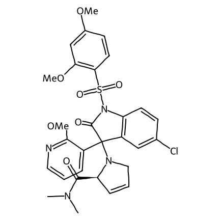 COc1ccc(S(=O)(=O)N2C(=O)C(c3cccnc3OC)(N3CC=C[C@H]3C(=O)N(C)C)c3cc(Cl)ccc32)c(OC)c1